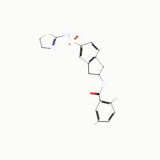 O=C(NC1Cc2ccc(S(=O)(=O)NC3=NCCS3)cc2C1)c1cc(F)ccc1F